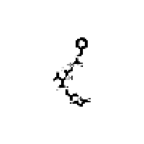 CC(C)C(NC(=O)CNC(=O)OCc1ccccc1)C(=O)OCC1CN2C(=O)CC2O1